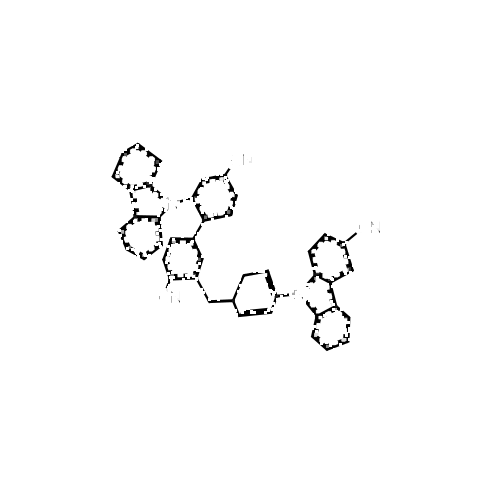 N#Cc1ccc(-c2ccc(C#N)c(CC3C=CC(n4c5ccccc5c5cc(C#N)ccc54)=CC3)c2)c(-n2c3ccccc3c3ccccc32)c1